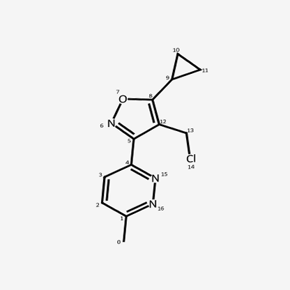 Cc1ccc(-c2noc(C3CC3)c2CCl)nn1